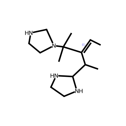 C/C=C(\C(C)C1NCCN1)C(C)(C)N1CCNC1